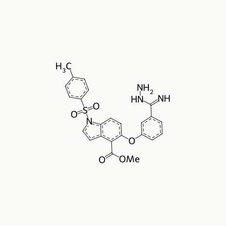 COC(=O)c1c(Oc2cccc(C(=N)NN)c2)ccc2c1ccn2S(=O)(=O)c1ccc(C)cc1